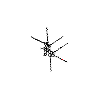 CCCCCCCCCCCCCCOc1cc(Nc2nc(Nc3cc(OCCCCCCCCCCCCCC)c(OCCCCCCCCCCCCCC)c(OCCCCCCCCCCCCCC)c3)nc(-c3cc[c]cc3)n2)cc(OCCCCCCCCCCCCCC)c1OCCCCCCCCCCCCCC